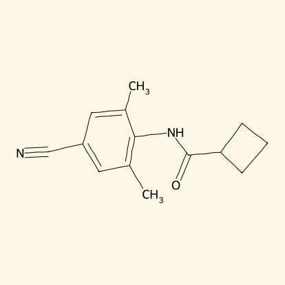 Cc1cc(C#N)cc(C)c1NC(=O)C1CCC1